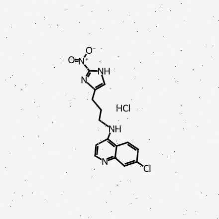 Cl.O=[N+]([O-])c1nc(CCCNc2ccnc3cc(Cl)ccc23)c[nH]1